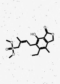 CCc1c(C)c2c(c(O)c1CC=C(C)CP(=O)(OC)OC)C(=O)OC2